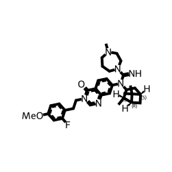 COc1ccc(CCn2cnc3cc(N(C(=N)N4CCCN(C)CC4)C4C[C@@H]5C[C@H]([C@@H]4C)C5(C)C)ccc3c2=O)c(F)c1